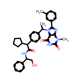 Cc1cccc(-c2nc3c(c(=O)[nH]c(=O)n3C)n2C(C)c2ccc(C(C(=O)NC(CO)c3ccccc3)C3CCCC3)cc2)c1